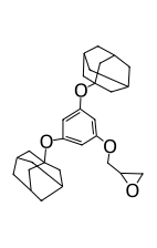 c1c(OCC2CO2)cc(OC23CC4CC(CC(C4)C2)C3)cc1OC12CC3CC(CC(C3)C1)C2